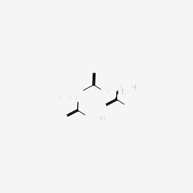 C=C(C)C(=O)O.C=C(CC)C(=O)O.C=C(CCCCC)C(=O)O